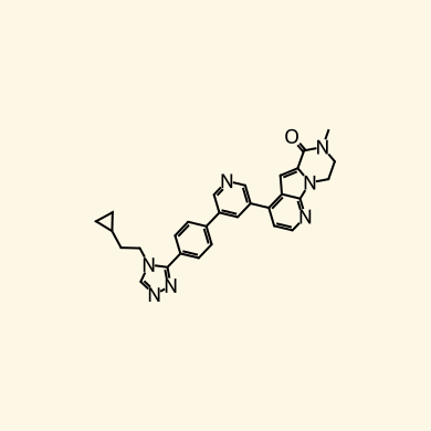 CN1CCn2c(cc3c(-c4cncc(-c5ccc(-c6nncn6CCC6CC6)cc5)c4)ccnc32)C1=O